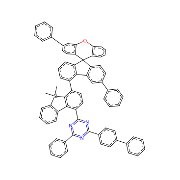 C[Si]1(C)c2ccccc2-c2c(-c3nc(-c4ccccc4)nc(-c4ccc(-c5ccccc5)cc4)n3)ccc(-c3cccc4c3-c3cc(-c5ccccc5)ccc3C43c4ccccc4Oc4cc(-c5ccccc5)ccc43)c21